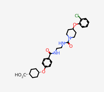 O=C(NCCNC(=O)N1CCC(Oc2ccccc2Cl)CC1)c1ccc(O[C@H]2CC[C@@H](C(=O)O)CC2)cc1